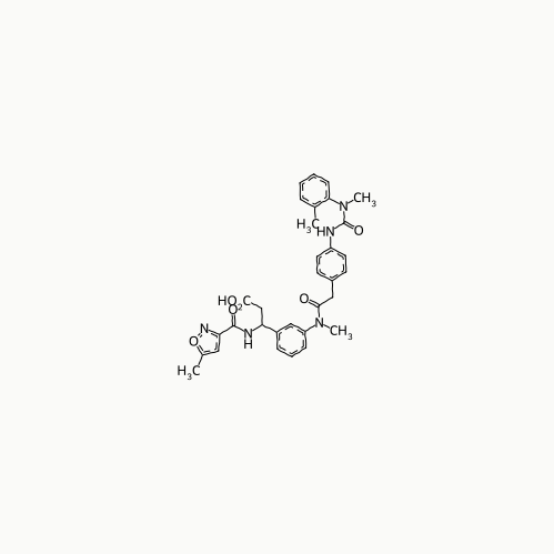 Cc1cc(C(=O)NC(CC(=O)O)c2cccc(N(C)C(=O)Cc3ccc(NC(=O)N(C)c4ccccc4C)cc3)c2)no1